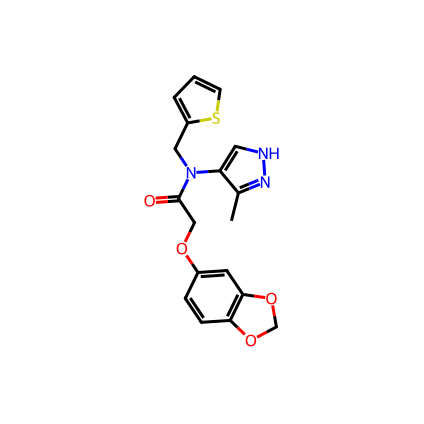 Cc1n[nH]cc1N(Cc1cccs1)C(=O)COc1ccc2c(c1)OCO2